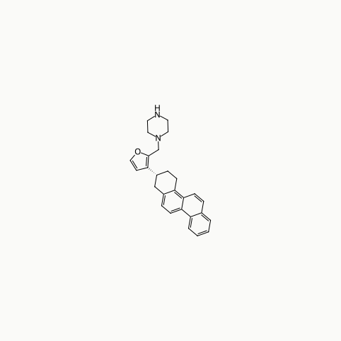 c1ccc2c(c1)ccc1c3c(ccc12)C[C@H](c1ccoc1CN1CCNCC1)CC3